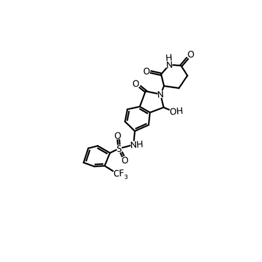 O=C1CCC(N2C(=O)c3ccc(NS(=O)(=O)c4ccccc4C(F)(F)F)cc3C2O)C(=O)N1